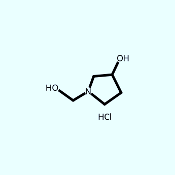 Cl.OCN1CCC(O)C1